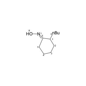 CCCCC1CCCC/C1=N\O